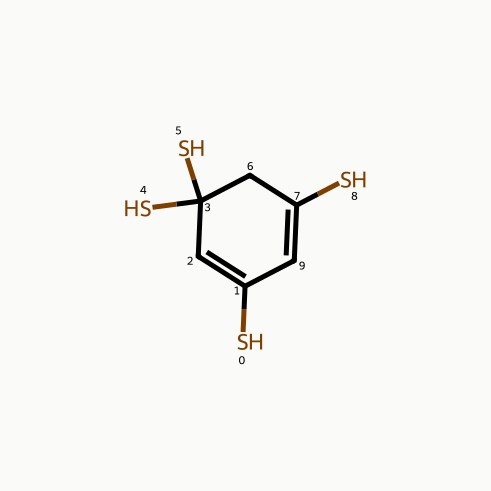 SC1=CC(S)(S)CC(S)=C1